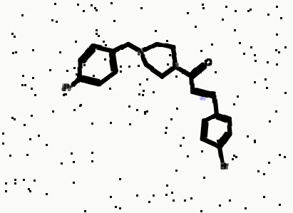 CC(C)c1ccc(CN2CCN(C(=O)/C=C/c3ccc(Br)cc3)CC2)cc1